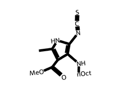 CCCCCCCCNc1c(N=C=S)[nH]c(C)c1C(=O)OC